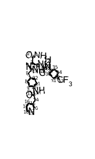 NC(=O)c1nc(Cc2ccc(NC(=O)Cc3cccnc3)cc2)[nH]c1NC(=O)Nc1ccc(C(F)(F)F)cc1